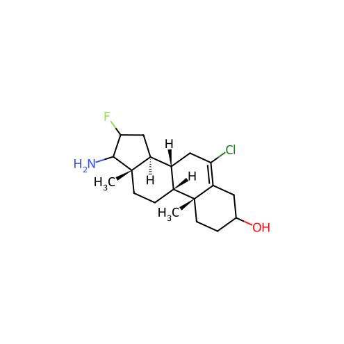 C[C@]12CCC(O)CC1=C(Cl)C[C@@H]1[C@H]2CC[C@]2(C)C(N)C(F)C[C@@H]12